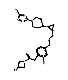 CC(C)c1noc(N2CCC([C@H]3C[C@H]3COCc3ccc(CC(=O)N4CC(O)C4)c(F)c3)CC2)n1